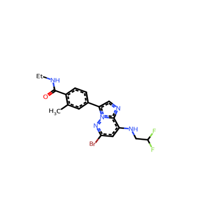 CCNC(=O)c1ccc(-c2cnc3c(NCC(F)F)cc(Br)nn23)cc1C